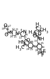 C[C@@H](NC(=O)c1cncc(N2CCN(C(=O)C3COC3)CC2)c1)c1ccc(-c2cc(C(F)(F)F)ccc2CNC(=O)OC(C)(C)C)cc1